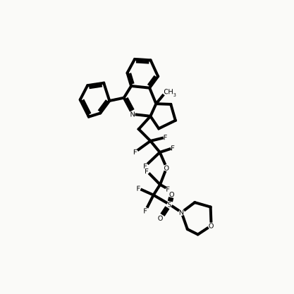 CC12CCCC1(CC(F)(F)C(F)(F)OC(F)(F)C(F)(F)S(=O)(=O)N1CCOCC1)N=C(c1ccccc1)c1ccccc12